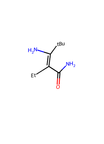 CCC(C(N)=O)=C(N)C(C)(C)C